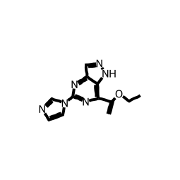 C=C(OCC)c1nc(-n2ccnc2)nc2cn[nH]c12